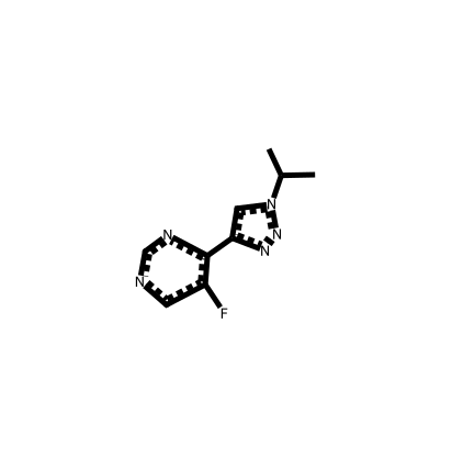 CC(C)n1cc(-c2ncncc2F)nn1